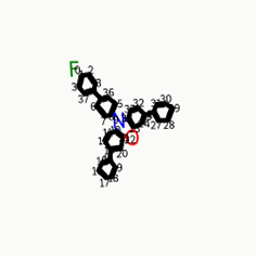 Fc1ccc(-c2ccc(N3c4ccc(-c5ccccc5)cc4Oc4cc(-c5ccccc5)ccc43)cc2)cc1